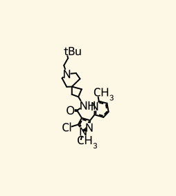 Cc1cccc(-c2nn(C)c(Cl)c2C(=O)NC2CC3(CCN(CCC(C)(C)C)CC3)C2)n1